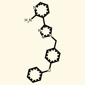 Nc1ncccc1-c1cn(Cc2ccc(Oc3ccccc3)cc2)nn1